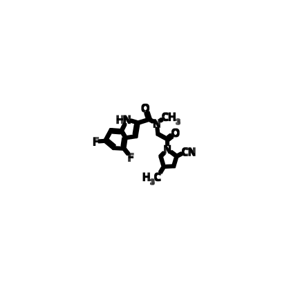 CC1CC(C#N)N(C(=O)CN(C)C(=O)c2cc3c(F)cc(F)cc3[nH]2)C1